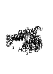 CC(C)Oc1cc(-n2nc(C(C)(C)C)oc2=O)c(Cl)cc1Cl.CCS(=O)(=O)c1cccnc1S(=O)(=O)NC(=O)Nc1nc(OC)cc(OC)n1.COc1nc(C)nc(NC(=O)NS(=O)(=O)c2ccccc2CCC(F)(F)F)n1.CP(=O)(O)CCC(N)C(=O)O